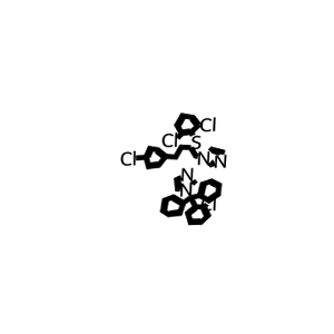 Clc1ccc(CCC(Cn2ccnc2)Sc2c(Cl)cccc2Cl)cc1.Clc1ccccc1C(c1ccccc1)(c1ccccc1)n1ccnc1